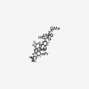 CCCc1cc(Cl)ccc1C1COc2ccc(C(O)C(=O)N[S+]([O-])CCOC)cc2N(CC2CCC2C(/C=C/CCN(C)C(C)=O)OC)C1